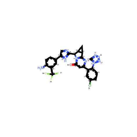 Nc1ccc(-c2cnc(C3C4CC4c4nc(-c5cc(Cl)ccc5-n5cnnn5)cc(=O)n43)[nH]2)cc1C(F)(F)F